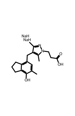 Cc1cc(Cc2c(C)nn(CCC(=O)O)c2C)c2c(c1O)CCC2.[NaH].[NaH]